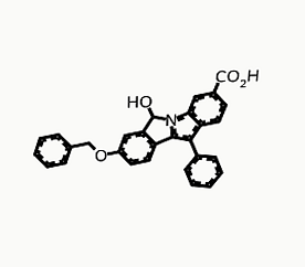 O=C(O)c1ccc2c(-c3ccccc3)c3n(c2c1)C(O)c1cc(OCc2ccccc2)ccc1-3